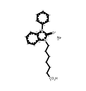 O=C(O)CCCCCCn1c(=O)n(-c2ccccc2)c2ccccc21.[Na]